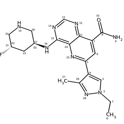 CCn1cc(-c2cc(C(N)=O)c3ncnc(N[C@@H]4CNC[C@@H](F)C4)c3n2)c(C)n1